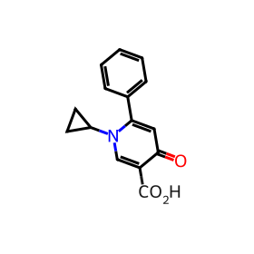 O=C(O)c1cn(C2CC2)c(-c2ccccc2)cc1=O